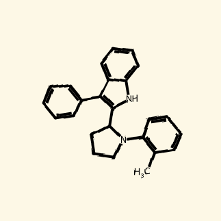 Cc1ccc[c]c1N1CCCC1c1[nH]c2ccccc2c1-c1ccccc1